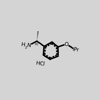 CC(C)Oc1cccc([C@@H](C)N)c1.Cl